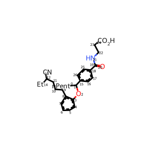 CCCCCC(Oc1ccccc1CCCC(C#N)CC)c1ccc(C(=O)NCCC(=O)O)cc1